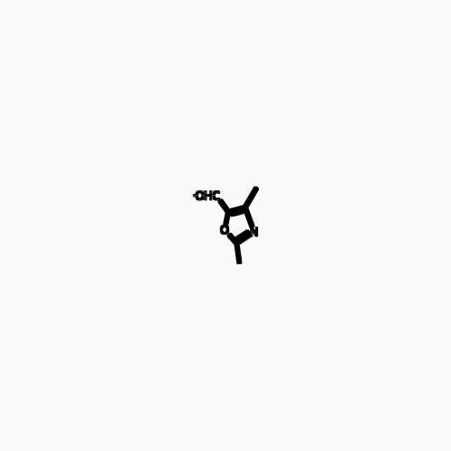 Cc1nc(C)c([C]=O)o1